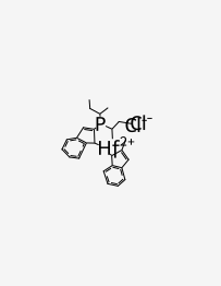 CCC(C)P(C1=Cc2ccccc2[CH]1[Hf+2][CH]1C(C)=Cc2ccccc21)C(C)CC.[Cl-].[Cl-]